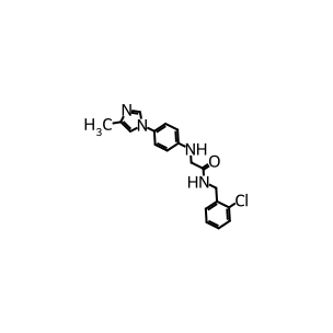 Cc1cn(-c2ccc(NCC(=O)NCc3ccccc3Cl)cc2)cn1